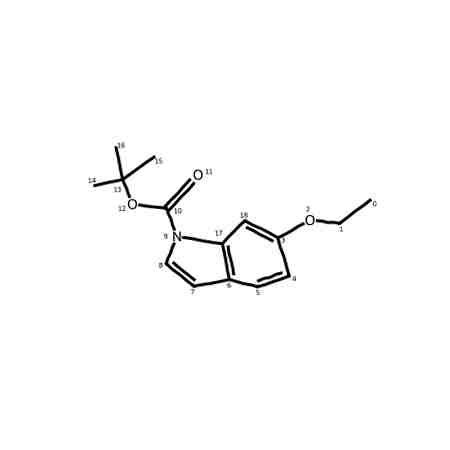 CCOc1ccc2ccn(C(=O)OC(C)(C)C)c2c1